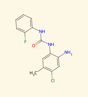 Cc1cc(NC(=O)Nc2ccccc2F)c(N)cc1Cl